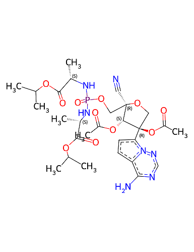 CC(=O)O[C@@H]1[C@@](C#N)(COP(=O)(N[C@@H](C)C(=O)OC(C)C)N[C@@H](C)C(=O)OC(C)C)OC[C@]1(OC(C)=O)c1ccc2c(N)ncnn12